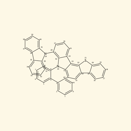 c1ccc(-c2ccccc2-n2c3ccc4c5ccccc5sc4c3c3cccc(-n4c5ccccc5c5ccccc54)c32)cc1